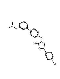 CN(C)Cc1cccc(-c2ccc(CN3CC(c4ccc(Cl)cc4)OC3=O)cc2)c1